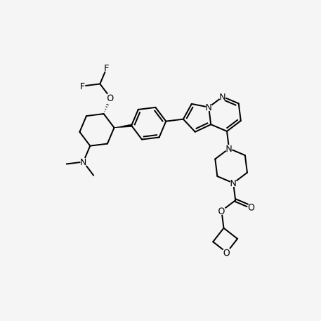 CN(C)C1CC[C@H](OC(F)F)[C@@H](c2ccc(-c3cc4c(N5CCN(C(=O)OC6COC6)CC5)ccnn4c3)cc2)C1